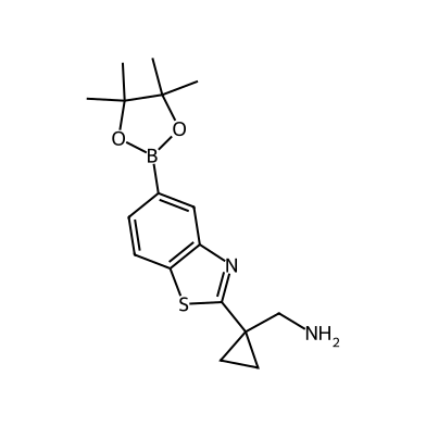 CC1(C)OB(c2ccc3sc(C4(CN)CC4)nc3c2)OC1(C)C